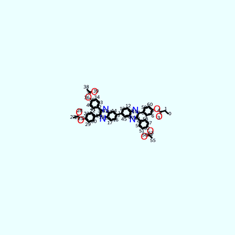 CCC(=O)Oc1ccc(-c2nc3ccc(-c4ccc5nc(-c6ccc(OC(C)=O)cc6)c(-c6ccc(OC(C)=O)cc6)nc5c4)cc3nc2-c2ccc(OC(C)=O)cc2)cc1